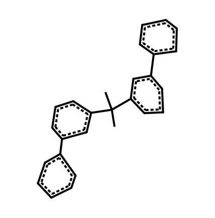 CC(C)(c1cccc(-c2ccccc2)c1)c1cccc(-c2ccccc2)c1